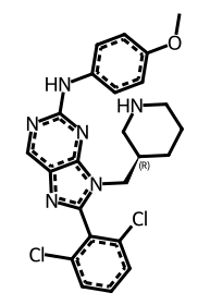 COc1ccc(Nc2ncc3nc(-c4c(Cl)cccc4Cl)n(C[C@@H]4CCCNC4)c3n2)cc1